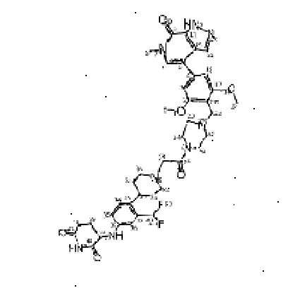 COc1cc(-c2cn(C)c(=O)c3[nH]ncc23)cc(OC)c1CN1CCN(C(=O)CN2CCC(c3ccc(NC4CCC(=O)NC4=O)cc3C(F)F)CC2)CC1